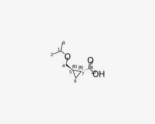 CC(C)OC[C@@H]1C[C@H]1C(=O)O